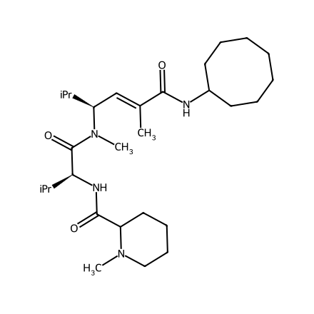 C/C(=C\[C@H](C(C)C)N(C)C(=O)[C@@H](NC(=O)C1CCCCN1C)C(C)C)C(=O)NC1CCCCCCC1